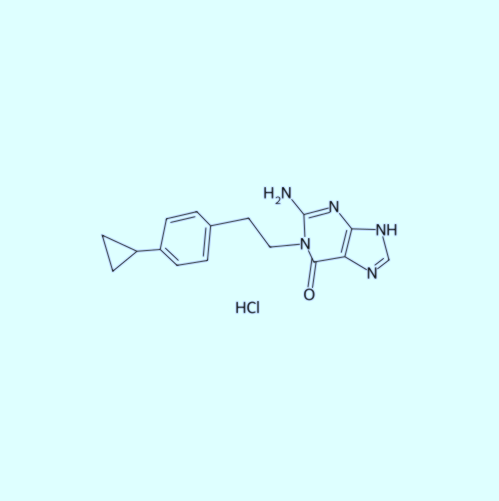 Cl.Nc1nc2[nH]cnc2c(=O)n1CCc1ccc(C2CC2)cc1